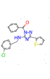 O=C(c1ccccc1)n1nc(-c2cccs2)nc1NCc1cccc(Cl)c1